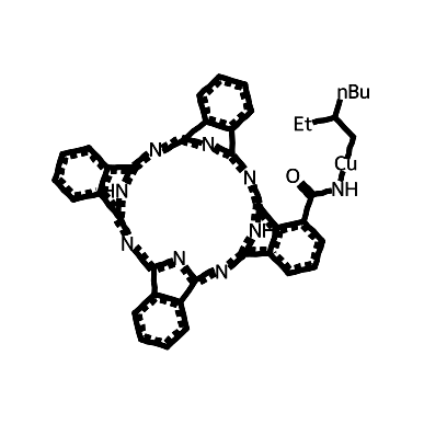 CCCCC(CC)[CH2][Cu][NH]C(=O)c1cccc2c3nc4nc(nc5[nH]c(nc6nc(nc([nH]3)c12)-c1ccccc1-6)c1ccccc51)-c1ccccc1-4